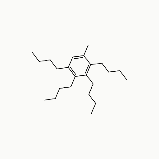 CCCCc1cc(C)c(CCCC)c(CCCC)c1CCCC